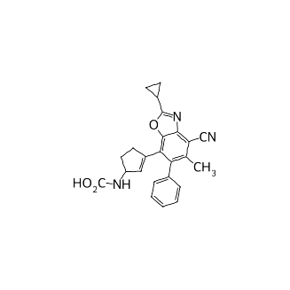 Cc1c(-c2ccccc2)c(C2=CC(NC(=O)O)CC2)c2oc(C3CC3)nc2c1C#N